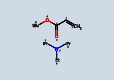 C=CC(=O)OC(C)(C)C.CCN(C(C)C)C(C)C